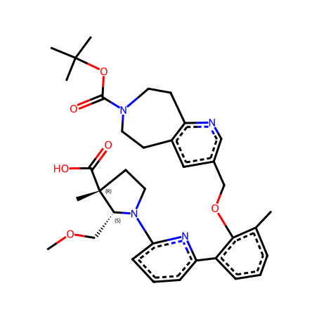 COC[C@H]1N(c2cccc(-c3cccc(C)c3OCc3cnc4c(c3)CCN(C(=O)OC(C)(C)C)CC4)n2)CC[C@@]1(C)C(=O)O